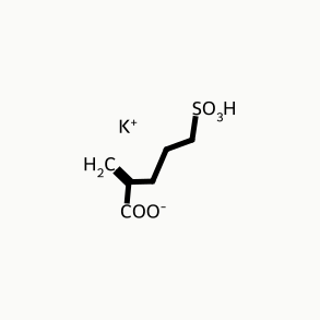 C=C(CCCS(=O)(=O)O)C(=O)[O-].[K+]